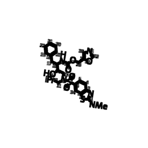 CNc1nc2ccc(S(=O)(=O)N(CC(C)C)CC(O)C(Cc3ccccc3)NC(=O)OCc3cnco3)cc2s1